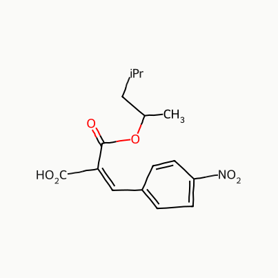 CC(C)CC(C)OC(=O)C(=Cc1ccc([N+](=O)[O-])cc1)C(=O)O